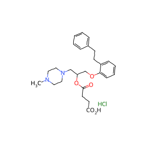 CN1CCN(CC(COc2ccccc2CCc2ccccc2)OC(=O)CCC(=O)O)CC1.Cl